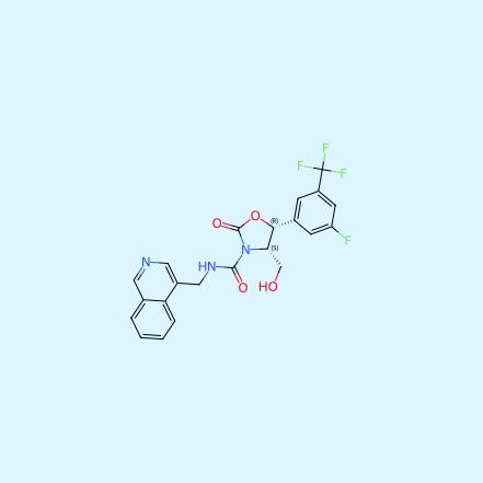 O=C(NCc1cncc2ccccc12)N1C(=O)O[C@H](c2cc(F)cc(C(F)(F)F)c2)[C@@H]1CO